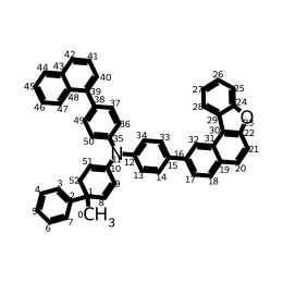 CC1(c2ccccc2)C=CC(N(c2ccc(-c3ccc4ccc5oc6ccccc6c5c4c3)cc2)c2ccc(-c3cccc4ccccc34)cc2)=CC1